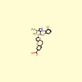 Cc1cccc(Cl)c1-n1ncc(C(C)C)c1COc1ccc2c(n1)CCc1ccc(C(=O)O)cc1O2